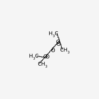 CCCCCCCCC(CCCCCCCC)OC(=O)CCCCCCCC(=O)CCCCCCCC(=O)OCC(CCCCCCC)CCCCCCC